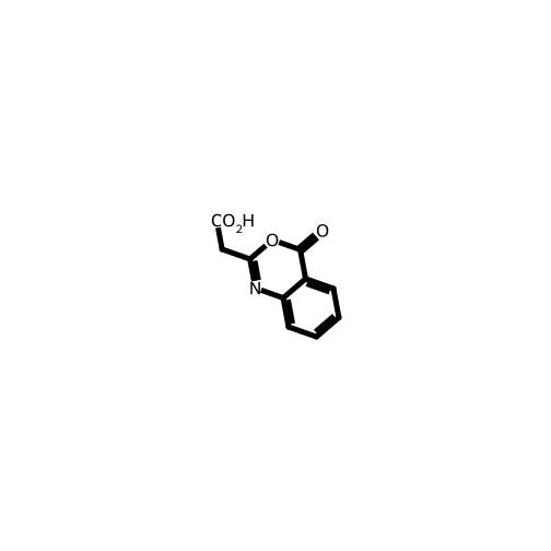 O=C(O)Cc1nc2ccccc2c(=O)o1